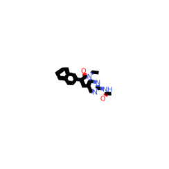 CCn1c(=O)c(-c2ccc3ccccc3c2)cc2cnc(NC(C)=O)nc21